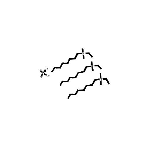 CCCCCCCC[N+](C)(C)CC.CCCCCCCC[N+](C)(C)CC.CCCCCCCC[N+](C)(C)CC.O=P([O-])([O-])[O-]